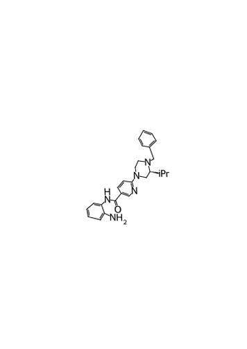 CC(C)[C@H]1CN(c2ccc(C(=O)Nc3ccccc3N)cn2)CCN1Cc1ccccc1